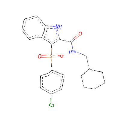 O=C(NCC1CCCCC1)c1[nH]c2ccccc2c1S(=O)(=O)c1ccc(Cl)cc1